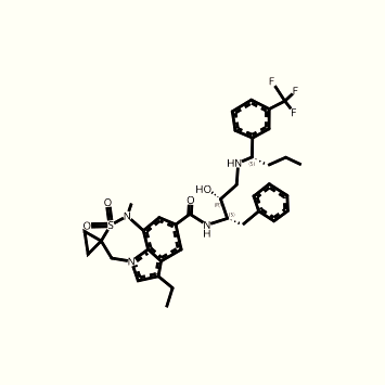 CCC[C@H](NC[C@@H](O)[C@H](Cc1ccccc1)NC(=O)c1cc2c3c(c1)c(CC)cn3CC1(CC1)S(=O)(=O)N2C)c1cccc(C(F)(F)F)c1